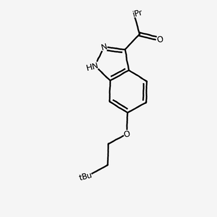 CC(C)C(=O)c1n[nH]c2cc(OCCC(C)(C)C)ccc12